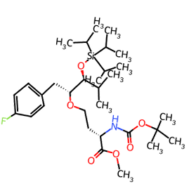 COC(=O)[C@H](CCO[C@H](Cc1ccc(F)cc1)[C@@H](O[Si](C(C)C)(C(C)C)C(C)C)C(C)C)NC(=O)OC(C)(C)C